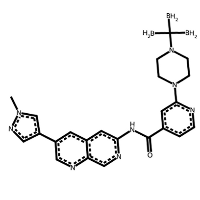 BC(B)(B)N1CCN(c2cc(C(=O)Nc3cc4cc(-c5cnn(C)c5)cnc4cn3)ccn2)CC1